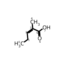 CC/C=C(/C)C(=O)O